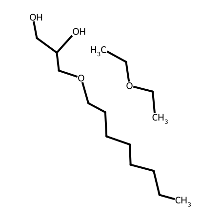 CCCCCCCCOCC(O)CO.CCOCC